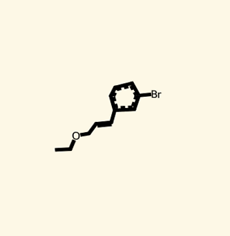 CCOCC=Cc1cccc(Br)c1